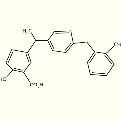 Cc1ccccc1Cc1ccc(C(C)c2ccc(O)c(C(=O)O)c2)cc1